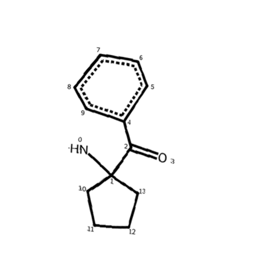 [NH]C1(C(=O)c2ccccc2)CCCC1